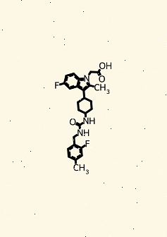 Cc1ccc(CNC(=O)NC2CCC(c3c(C)n(CC(=O)O)c4ccc(F)cc34)CC2)c(F)c1